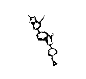 Cc1nc2c(F)cc(-c3ccc4nc(C5CCN(C6CC6)CC5)[nH]c(=O)c4c3)cc2o1